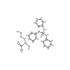 CCCCC(CC)C(=O)[O-].C[N+](Cc1ccccc1)(Cc1ccccc1)Cc1ccccc1